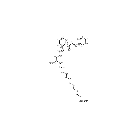 CCCCCCCCCCCCCCCCCCCCCCSC(CCC)CCCOc1ccccc1C(=O)C=Cc1ccccc1